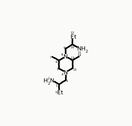 CCC(N)CN1CC(C)N(CC(N)CC)C(C)C1